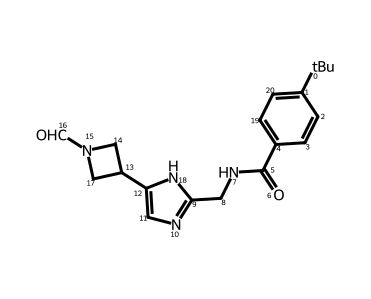 CC(C)(C)c1ccc(C(=O)NCc2ncc(C3CN(C=O)C3)[nH]2)cc1